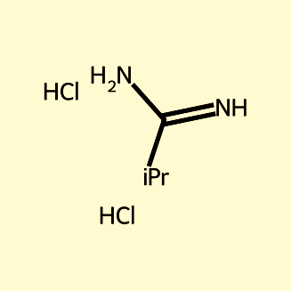 CC(C)C(=N)N.Cl.Cl